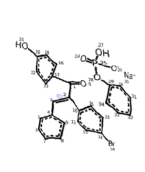 O=C(/C(=C/c1ccccc1)c1ccc(Br)cc1)c1ccc(O)cc1.O=P([O-])(O)Oc1ccccc1.[Na+]